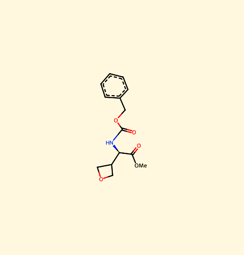 COC(=O)[C@H](NC(=O)OCc1ccccc1)C1COC1